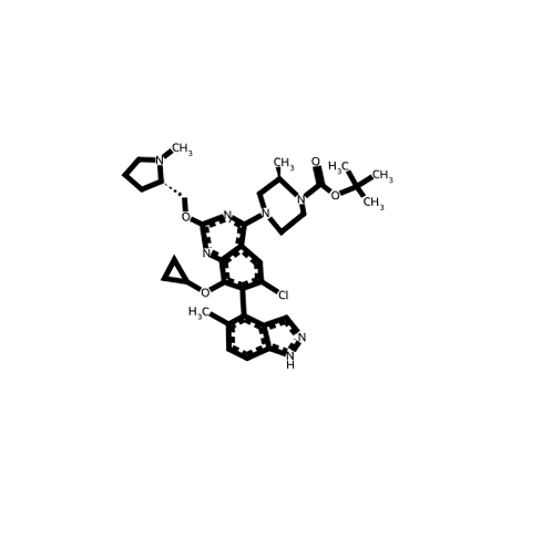 Cc1ccc2[nH]ncc2c1-c1c(Cl)cc2c(N3CCN(C(=O)OC(C)(C)C)[C@H](C)C3)nc(OC[C@@H]3CCCN3C)nc2c1OC1CC1